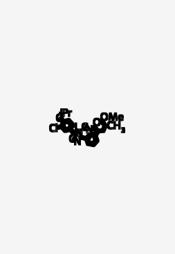 COC(=O)[C@H](C)Cc1cn(C)c2c(-c3noc(-c4ccc(OC(C)C)c(Cl)c4)n3)cccc12